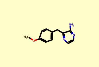 COc1ccc(Cc2nccnc2N)cc1